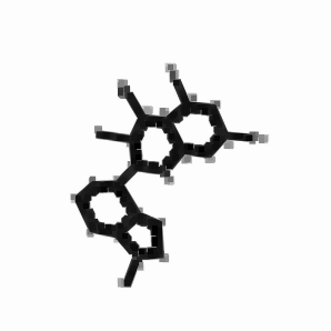 Cc1c(-c2cccc3c2ccn3C)nc2cc(F)cc(F)c2c1Cl